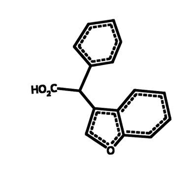 O=C(O)C(c1ccccc1)c1coc2ccccc12